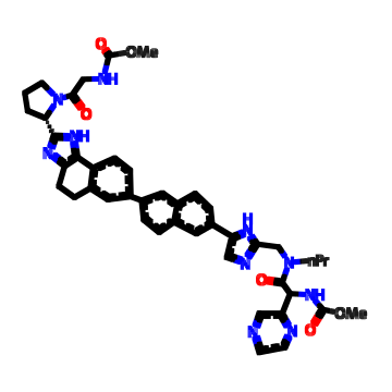 CCCN(Cc1ncc(-c2ccc3cc(-c4ccc5c(c4)CCc4nc([C@@H]6CCCN6C(=O)CNC(=O)OC)[nH]c4-5)ccc3c2)[nH]1)C(=O)C(NC(=O)OC)c1cnccn1